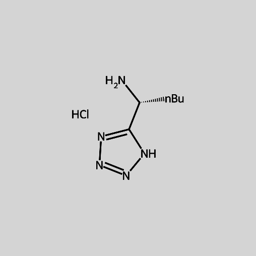 CCCC[C@@H](N)c1nnn[nH]1.Cl